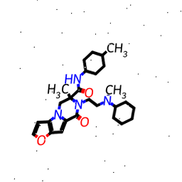 CC1CCC(NC(=O)C2(C)Cn3c(cc4occc43)C(=O)N2CCN(C)C2CCCCC2)CC1